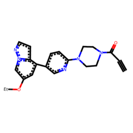 C#CC(=O)N1CCN(c2ccc(-c3cc(OCC)cn4nccc34)cn2)CC1